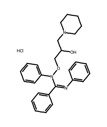 Cl.OC(CON(C(=Nc1ccccc1)c1ccccc1)c1ccccc1)CN1CCCCC1